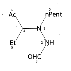 CCCCCN(NC=O)C(CC)C(C)=O